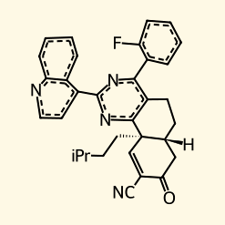 CC(C)CC[C@@]12C=C(C#N)C(=O)C[C@H]1CCc1c(-c3ccccc3F)nc(-c3ccnc4ccccc34)nc12